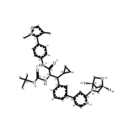 Cc1cnn(C)c1-c1ccc(NC(=O)[C@H](NC(=O)OC(C)(C)C)C(c2cccc(-c3ccnc(N4C[C@@H]5C[C@H]4CO5)c3)c2)C2CC2)cc1